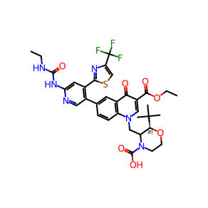 CCNC(=O)Nc1cc(-c2nc(C(F)(F)F)cs2)c(-c2ccc3c(c2)c(=O)c(C(=O)OCC)cn3CC2[C@@H](C(C)(C)C)OCCN2C(=O)O)cn1